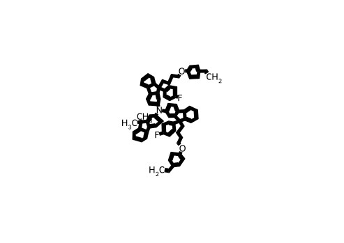 C=Cc1ccc(OCCCCC2(c3ccc(F)cc3)c3ccccc3-c3ccc(N(c4ccc5c(c4)C(C)(C)c4ccccc4-5)c4ccc5c(c4)C(CCCCOc4ccc(C=C)cc4)(c4ccc(F)cc4)c4ccccc4-5)cc32)cc1